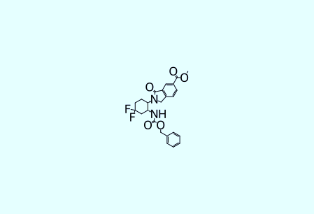 COC(=O)c1ccc2c(c1)C(=O)N([C@@H]1CCC(F)(F)C[C@@H]1NC(=O)OCc1ccccc1)C2